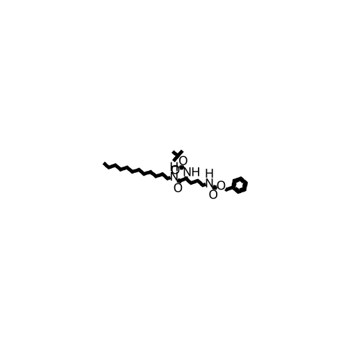 CCCCCCCCCCCCNC(=O)C(CCCNC(=O)OCc1ccccc1)NC(=O)OC(C)(C)C